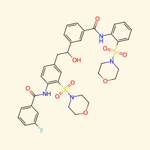 O=C(Nc1ccccc1S(=O)(=O)N1CCOCC1)c1cccc(C(O)Cc2ccc(NC(=O)c3cccc(F)c3)c(S(=O)(=O)N3CCOCC3)c2)c1